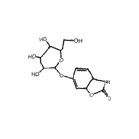 O=C1NC2C=CC(OC3OC(CO)C(O)C(O)C3O)=CC2O1